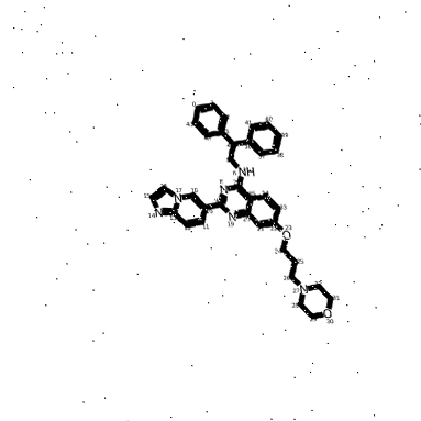 c1ccc(C(CNc2nc(-c3ccc4nccn4c3)nc3cc(OCCCN4CCOCC4)ccc23)c2ccccc2)cc1